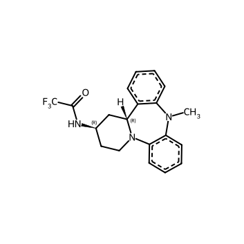 CN1c2ccccc2[C@H]2C[C@H](NC(=O)C(F)(F)F)CCN2c2ccccc21